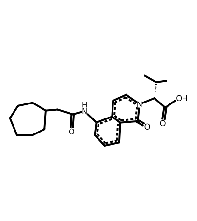 CC(C)[C@H](C(=O)O)n1ccc2c(NC(=O)CC3CCCCCC3)cccc2c1=O